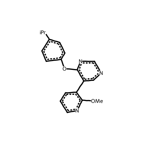 COc1ncccc1-c1cncnc1Oc1ccc(C(C)C)cc1